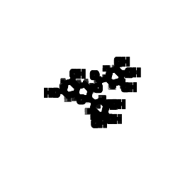 O=C(O[C@H]1Cc2c(O)cc(O)cc2O[C@@H]1C1C=C(O)C(O)=C(O)C1)c1cc(O)c(O)c(O)c1